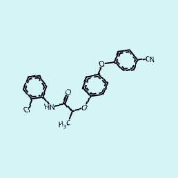 CC(Oc1ccc(Oc2ccc(C#N)cc2)cc1)C(=O)Nc1ccccc1Cl